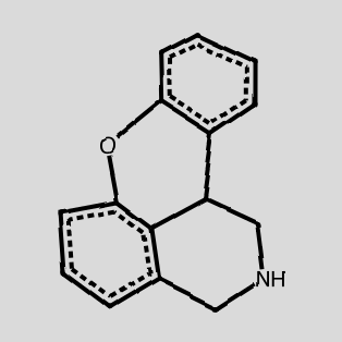 c1ccc2c(c1)Oc1cccc3c1C2CNC3